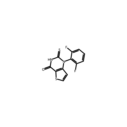 O=c1[nH]c(=S)n(-c2c(F)cccc2F)c2ccsc12